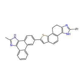 Cc1nc2c3ccccc3c3cc(-c4cc5ccc6c(c5s4)CCc4nc(C(C)C)[nH]c4-6)ccc3c2[nH]1